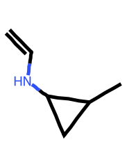 C=CNC1CC1C